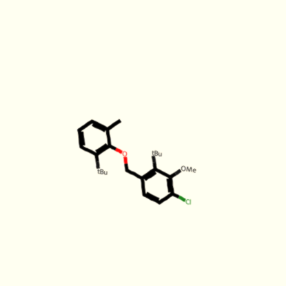 COc1c(Cl)ccc(COc2c(C)cccc2C(C)(C)C)c1C(C)(C)C